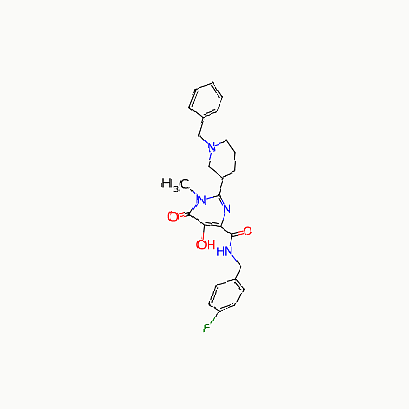 Cn1c(C2CCCN(Cc3ccccc3)C2)nc(C(=O)NCc2ccc(F)cc2)c(O)c1=O